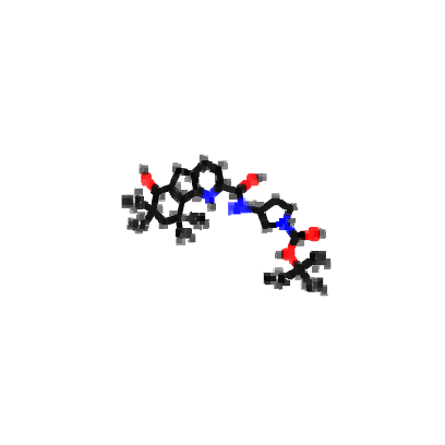 CC(C)(C)OC(=O)N1CCC(NC(=O)c2ccc3c(n2)C2=C(C3)C(=O)C(C)(C)CC2(C)C)C1